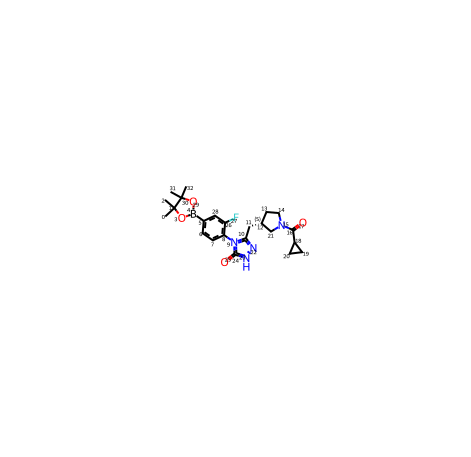 CC1(C)OB(c2ccc(-n3c(C[C@@H]4CCN(C(=O)C5CC5)C4)n[nH]c3=O)c(F)c2)OC1(C)C